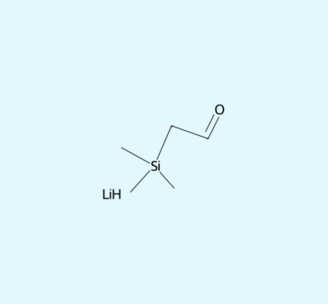 C[Si](C)(C)CC=O.[LiH]